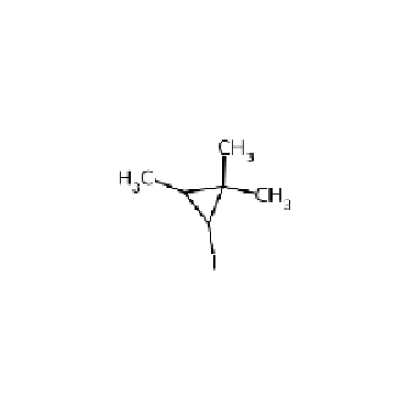 CC1C(I)C1(C)C